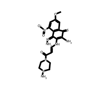 COc1cc2c(c([N+](=O)[O-])c1)C(=NN)C(N/C=C/C(=O)N1CCN(N)CC1)=C(N)C2=S